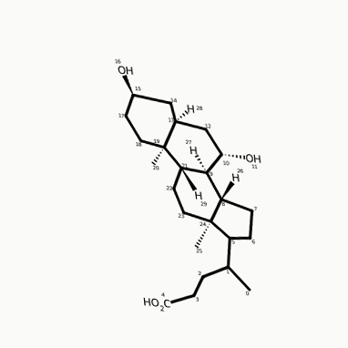 CC(CCC(=O)O)C1CC[C@H]2[C@@H]3[C@@H](O)C[C@@H]4C[C@H](O)CC[C@]4(C)[C@H]3CC[C@]12C